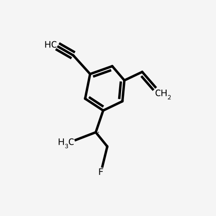 C#Cc1cc(C=C)cc([C](C)CF)c1